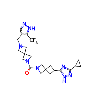 O=C(N1CC2(CC(c3nc(C4CC4)n[nH]3)C2)C1)N1CC2(CN(Cc3cn[nH]c3C(F)(F)F)C2)C1